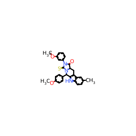 COc1ccc(C2c3[nH]c4ccc(C)cc4c3CC3C(=O)N(c4cccc(OC)c4)C(=S)N32)cc1